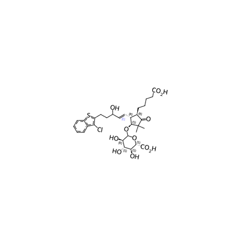 CC1(C)C(=O)[C@H](CCCCC(=O)O)[C@@H](/C=C/C(O)CCc2sc3ccccc3c2Cl)[C@@H]1OC1O[C@H](C(=O)O)[C@@H](O)[C@H](O)[C@H]1O